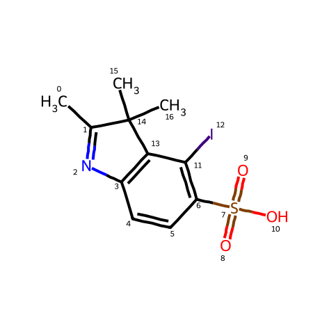 CC1=Nc2ccc(S(=O)(=O)O)c(I)c2C1(C)C